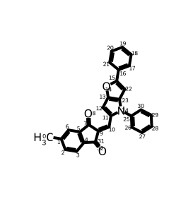 Cc1ccc2c(c1)C(=O)/C(=C\c1cc3oc(-c4ccccc4)cc3n1-c1ccccc1)C2=O